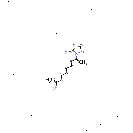 C=C(CC)CCCCCCC(=C)N1CCCC1CC